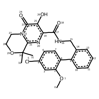 COc1cc(Cl)ccc1-c1ccccc1CNC(=O)c1nc2n(c(=O)c1O)CCOC2(C)C